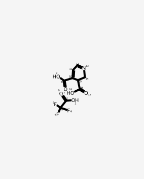 O=C(O)C(F)(F)F.O=C(O)C1=CC=NCC1C(=O)O